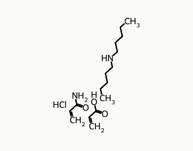 C=CC(=O)O.C=CC(N)=O.CCCCCNCCCCC.Cl